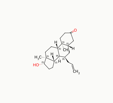 C=CC[C@@H]1C[C@H]2CC(=O)CC[C@]2(C)[C@H]2CC[C@]3(C)[C@@H](O)CC[C@H]3[C@H]12